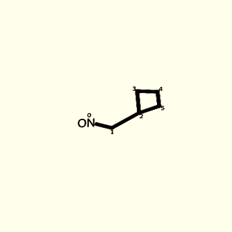 O=NCC1CCC1